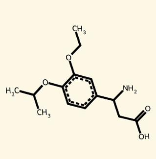 CCOc1cc(C(N)CC(=O)O)ccc1OC(C)C